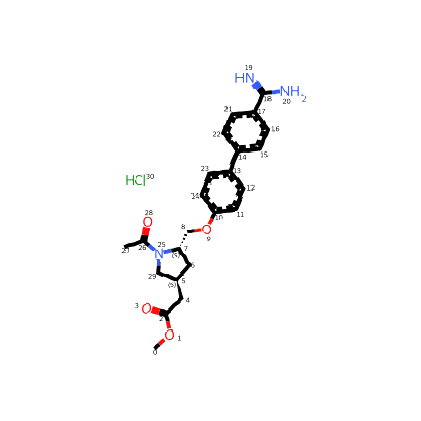 COC(=O)C[C@@H]1C[C@@H](COc2ccc(-c3ccc(C(=N)N)cc3)cc2)N(C(C)=O)C1.Cl